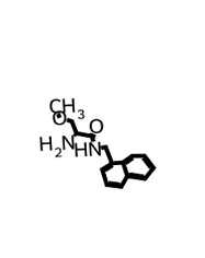 COC[C@H](N)C(=O)NCc1cccc2ccccc12